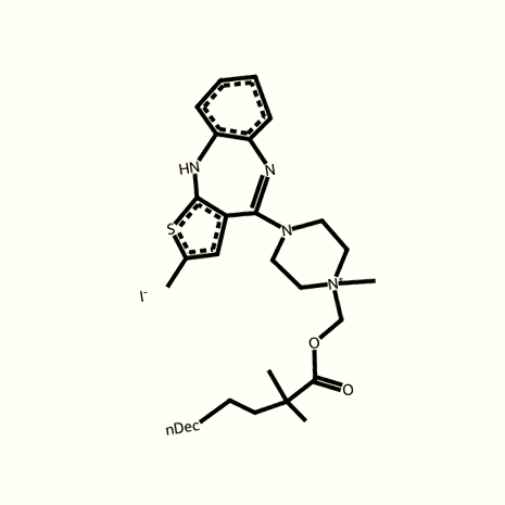 CCCCCCCCCCCCC(C)(C)C(=O)OC[N+]1(C)CCN(C2=Nc3ccccc3Nc3sc(C)cc32)CC1.[I-]